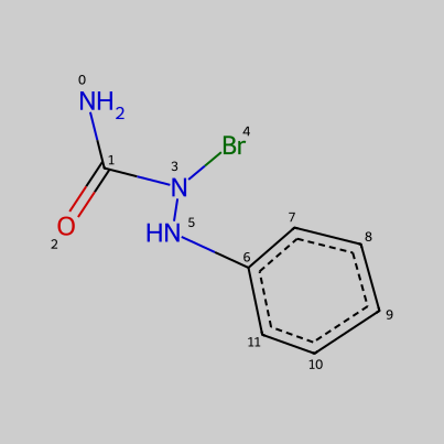 NC(=O)N(Br)Nc1ccccc1